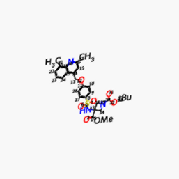 COC(=O)C1(NS(=O)(=O)c2ccc(OCc3cc(C)nc4c(C)cccc34)cc2)CN(C(=O)OC(C)(C)C)C1